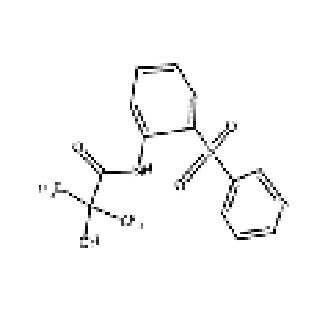 CC(O)(C(=O)Nc1ccccc1S(=O)(=O)c1cccnc1)C(F)(F)F